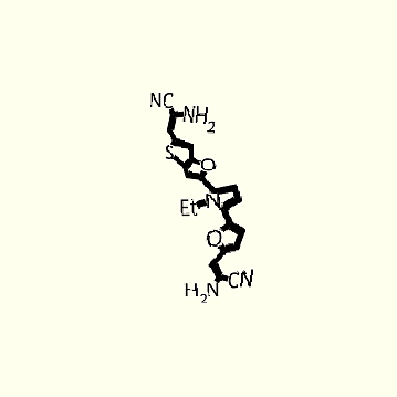 CCn1c(-c2ccc(/C=C(/N)C#N)o2)ccc1-c1cc2sc(/C=C(\N)C#N)cc2o1